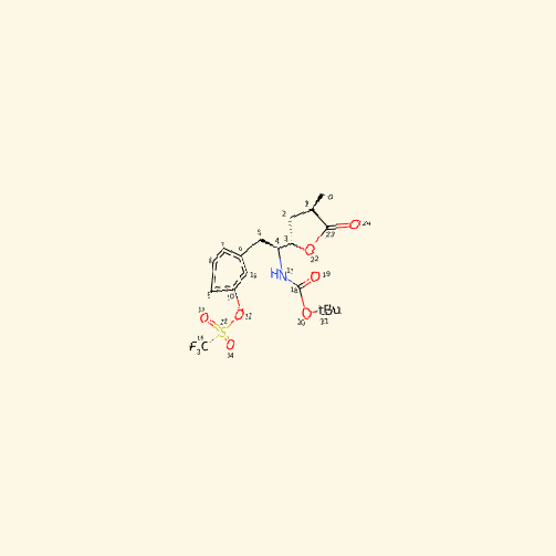 C[C@@H]1C[C@@H]([C@H](Cc2cccc(OS(=O)(=O)C(F)(F)F)c2)NC(=O)OC(C)(C)C)OC1=O